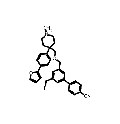 CN1CCC(COCc2cc(CF)cc(-c3ccc(C#N)cc3)c2)(c2ccc(-c3ccco3)cc2)CC1